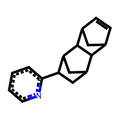 C1=CC2CC1C1C3CC(c4ccccn4)C(C3)C21